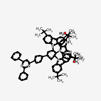 CC(C)(C)c1ccc2c(c1)c1cc(C(C)(C)C)ccc1n2-c1cc(-c2ccc(-c3cc(-c4ccccc4)nc(-c4ccccc4)n3)cc2)cc(-n2c3ccc(C(C)(C)C)cc3c3cc(C(C)(C)C)ccc32)c1-n1c2ccc(C(C)(C)C)nc2c2nc(C(C)(C)C)ccc21